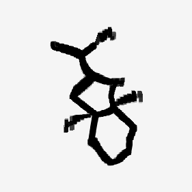 NC(=O)C1C[C@@H]2CCCC[C@@H]2N1